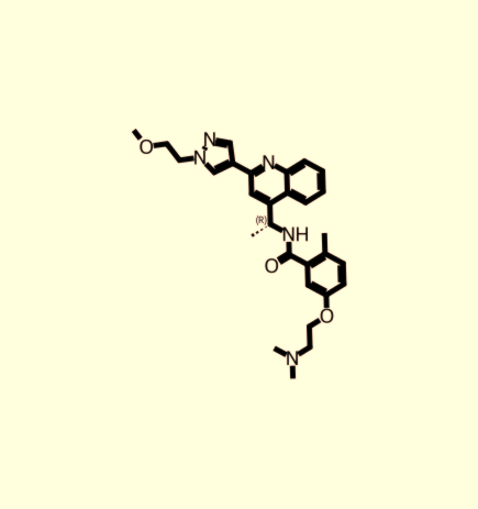 COCCn1cc(-c2cc([C@@H](C)NC(=O)c3cc(OCCN(C)C)ccc3C)c3ccccc3n2)cn1